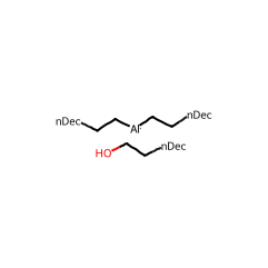 CCCCCCCCCCCCO.CCCCCCCCCCC[CH2][Al][CH2]CCCCCCCCCCC